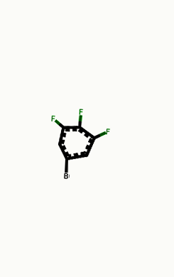 [B]c1cc(F)c(F)c(F)c1